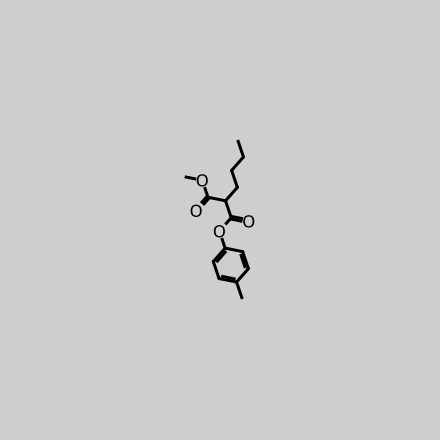 CCCCC(C(=O)OC)C(=O)Oc1ccc(C)cc1